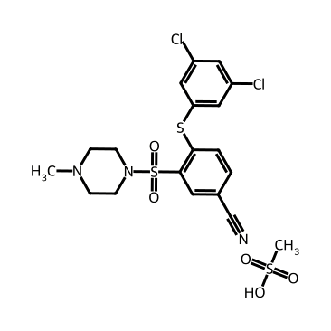 CN1CCN(S(=O)(=O)c2cc(C#N)ccc2Sc2cc(Cl)cc(Cl)c2)CC1.CS(=O)(=O)O